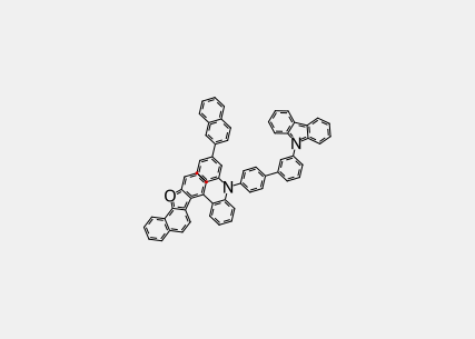 c1cc(-c2ccc3ccccc3c2)cc(N(c2ccc(-c3cccc(-n4c5ccccc5c5ccccc54)c3)cc2)c2ccccc2-c2cccc3oc4c5ccccc5ccc4c23)c1